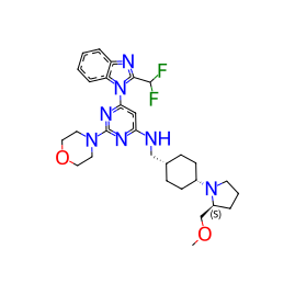 COC[C@@H]1CCCN1[C@H]1CC[C@@H](CNc2cc(-n3c(C(F)F)nc4ccccc43)nc(N3CCOCC3)n2)CC1